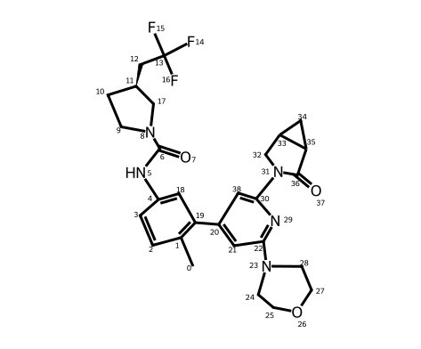 Cc1ccc(NC(=O)N2CC[C@@H](CC(F)(F)F)C2)cc1-c1cc(N2CCOCC2)nc(N2CC3CC3C2=O)c1